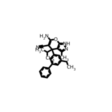 CCc1cc(-c2ccccc2)cc(C2(C(C)C)C(C#N)=C(N)Oc3[nH]nc(C)c32)c1